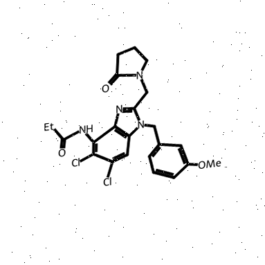 CCC(=O)Nc1c(Cl)c(Cl)cc2c1nc(CN1CCCC1=O)n2Cc1cccc(OC)c1